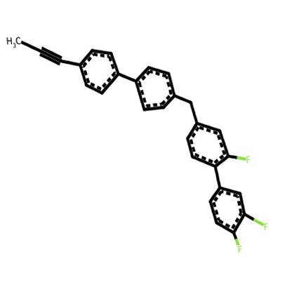 CC#Cc1ccc(-c2ccc(Cc3ccc(-c4ccc(F)c(F)c4)c(F)c3)cc2)cc1